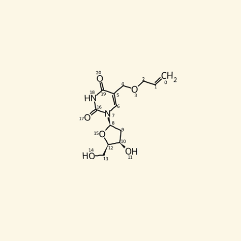 C=CCOCc1cn([C@H]2C[C@@H](O)[C@@H](CO)O2)c(=O)[nH]c1=O